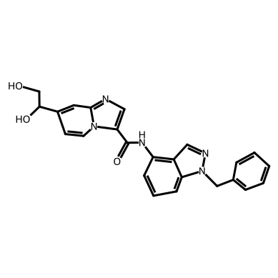 O=C(Nc1cccc2c1cnn2Cc1ccccc1)c1cnc2cc(C(O)CO)ccn12